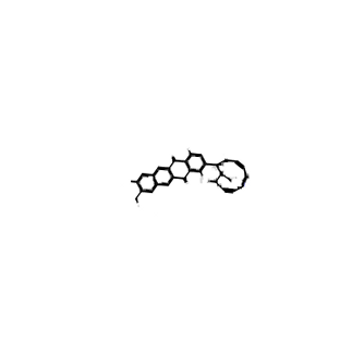 Cc1cc2cc3c(cc2cc1CN)C(=O)c1c2c(cc(O)c1C3=O)[C@@]13O[C@@]1([C@@H](C)O)[C@H](C#C/C=C\C#C[C@H]3O)N2